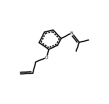 C=CCOc1cccc(N=C(C)C)c1